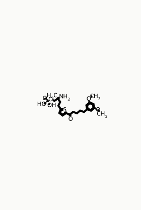 COc1cc(CCCCC(=O)c2ccc(CCC(C)(N)COP(=O)(O)O)s2)cc(OC)c1